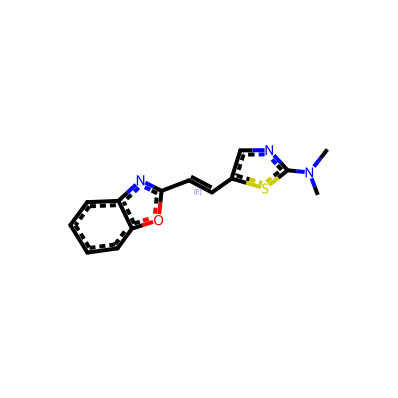 CN(C)c1ncc(/C=C/c2nc3ccccc3o2)s1